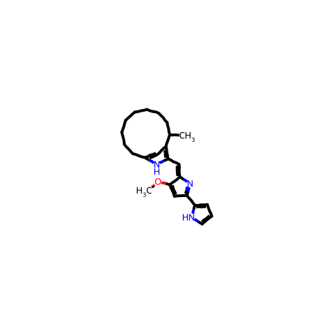 COC1=CC(c2ccc[nH]2)=NC1=Cc1[nH]c2cc1C(C)CCCCCCCC2